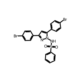 O=S(=O)(Nn1nc(-c2ccc(Br)cc2)cc1-c1ccc(Br)cc1)c1ccccc1